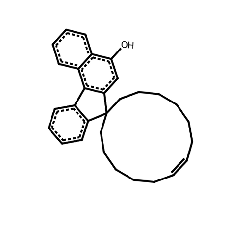 Oc1cc2c(c3ccccc13)-c1ccccc1C21CCCCC/C=C\CCCCCC1